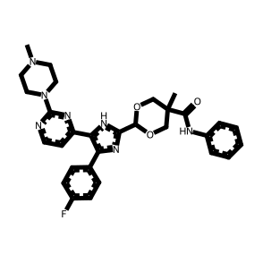 CN1CCN(c2nccc(-c3[nH]c(C4OCC(C)(C(=O)Nc5ccccc5)CO4)nc3-c3ccc(F)cc3)n2)CC1